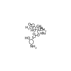 C=C[C@](C)(C[C@H](CCCC)OC(=O)CSC1CCC(N)CCC1O)C(O)[C@H](C)C12CCC(=O)C1(C)C2